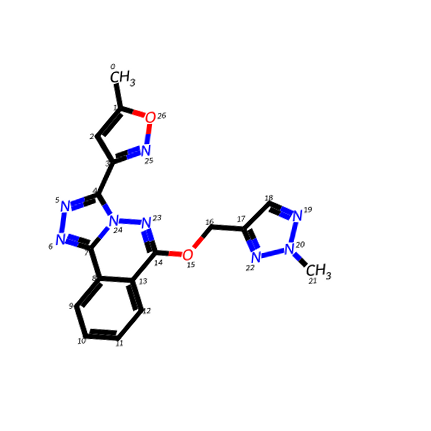 Cc1cc(-c2nnc3c4ccccc4c(OCc4cnn(C)n4)nn23)no1